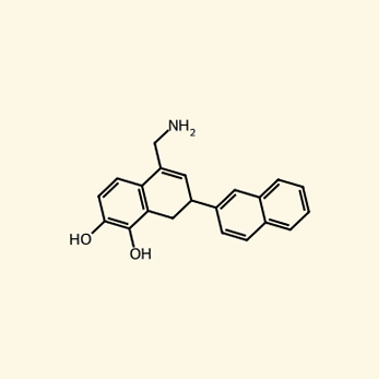 NCC1=CC(c2ccc3ccccc3c2)Cc2c1ccc(O)c2O